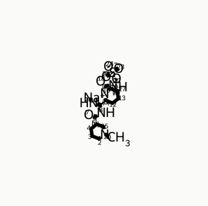 CN1CCC[C@H](C(=O)NC(=N)[C@@H]2CC[C@@H]3CN2C(=O)N3OS(=O)(=O)[O-])C1.[Na+]